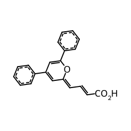 O=C(O)/C=C/C=C1/C=C(c2ccccc2)C=C(c2ccccc2)O1